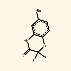 CC(C)(C)c1ccc2c(c1)NC(=O)C(F)(F)O2